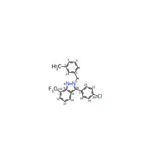 Cc1cccc(Cn2nc3c(C(F)(F)F)cccc3c2-c2ccc(Cl)cc2)c1